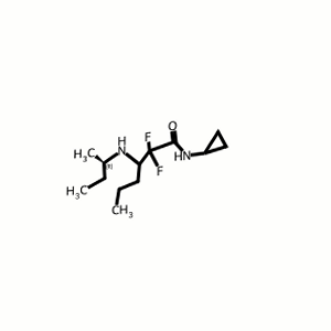 CCCC(N[C@H](C)CC)C(F)(F)C(=O)NC1CC1